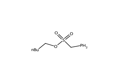 CCCCCOS(=O)(=O)CP